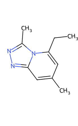 CCc1cc(C)cc2nnc(C)n12